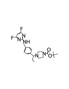 CCC(c1ccc(CNc2nc(F)cc(F)n2)cc1)N1CCN(C(=O)OC(C)(C)C)CC1